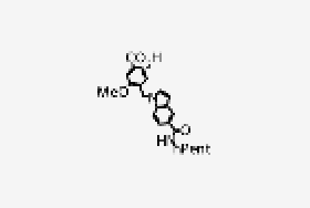 CCCCCNC(=O)c1ccc2c(ccn2Cc2ccc(C(=O)O)cc2OC)c1